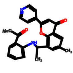 COC(=O)c1ccccc1NC(C)c1cc(C)cc2c(=O)cc(-c3ccncc3)oc12